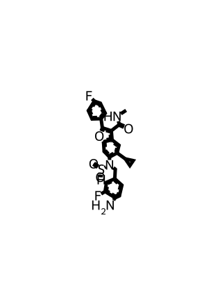 CNC(=O)c1c(-c2ccc(F)cc2)oc2cc(N(Cc3ccc(N)c(F)c3)[SH](=O)=O)c(C3CC3)cc12